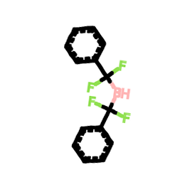 FC(F)(BC(F)(F)c1ccccc1)c1ccccc1